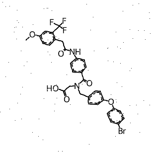 COc1ccc(CC(=O)Nc2ccc(C(=O)N(CC(=O)O)Cc3ccc(Oc4ccc(Br)cc4)cc3)cc2)c(C(F)(F)F)c1